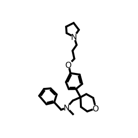 CN(Cc1ccccc1)CC1(c2ccc(OCCCN3CCCC3)cc2)CCOCC1